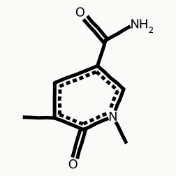 Cc1cc(C(N)=O)cn(C)c1=O